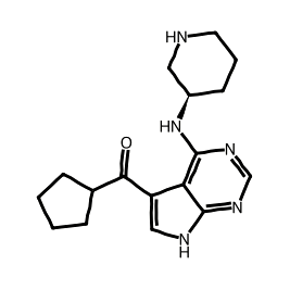 O=C(c1c[nH]c2ncnc(N[C@@H]3CCCNC3)c12)C1CCCC1